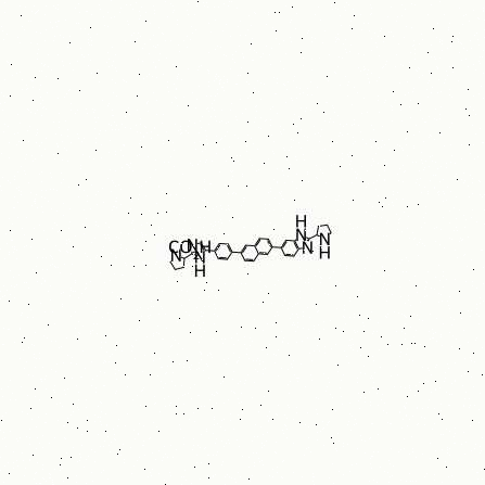 O=C(O)N1CCCC1c1ncc(-c2ccc(-c3ccc4cc(-c5ccc6nc(C7CCCN7)[nH]c6c5)ccc4c3)cc2)[nH]1